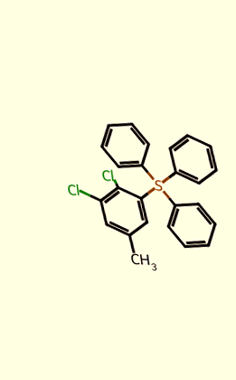 Cc1cc(Cl)c(Cl)c(S(c2ccccc2)(c2ccccc2)c2ccccc2)c1